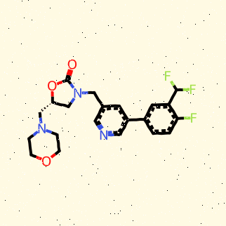 O=C1O[C@@H](CN2CCOCC2)CN1Cc1cncc(-c2ccc(F)c(C(F)F)c2)c1